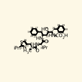 CC(C)c1nc(CN(C)C(=O)N[C@H](C(=O)NC(Cc2ccccc2)CC(O)[C@H](Cc2ccccc2)NC(=O)O)C(C)C)cs1